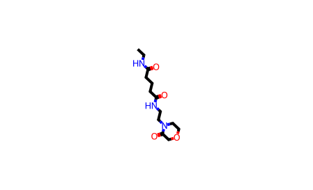 CCNC(=O)CCCC(=O)NCCN1CCOCC1=O